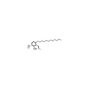 C1CO1.CC=Cc1c(O)cccc1CCCCCCCCCCCC